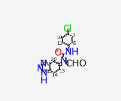 O=CN(C(=O)Nc1ccc(Cl)cc1)c1ccc2[nH]nnc2c1